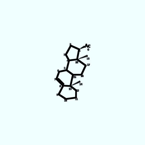 CC(=O)[C@H]1CCC2C3CC=C4CCCC[C@]4(C)C3CC[C@@]21C